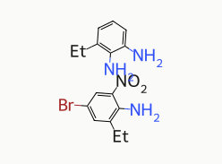 CCc1cc(Br)cc([N+](=O)[O-])c1N.CCc1cccc(N)c1N